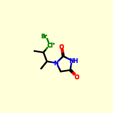 CC([Cl+]Br)C(C)N1CC(=O)NC1=O